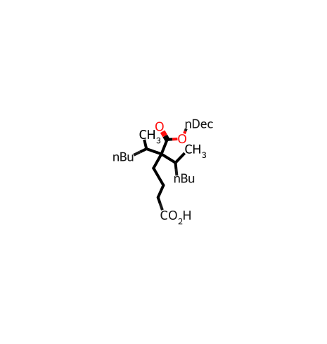 CCCCCCCCCCOC(=O)C(CCCC(=O)O)(C(C)CCCC)C(C)CCCC